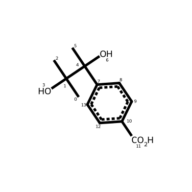 CC(C)(O)C(C)(O)c1ccc(C(=O)O)cc1